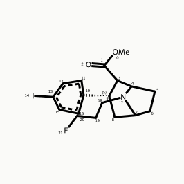 COC(=O)C1C2CCC(C[C@@H]1c1ccc(I)cc1)N2CCCF